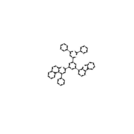 c1ccc(-c2cc(-c3cc(-c4cc(-c5ccccc5)c5c(ccc6ccccc65)n4)cc(-c4cccc5c4oc4ccccc45)c3)nc(-c3ccccc3)n2)cc1